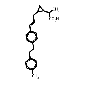 Cc1ccc(CCc2ccc(C=CCC3CC3C(C)C(=O)O)cc2)cc1